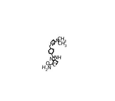 CN(C)c1ccn(Cc2ccc(-c3nc4c(C(N)=O)cccc4[nH]3)cc2)c1